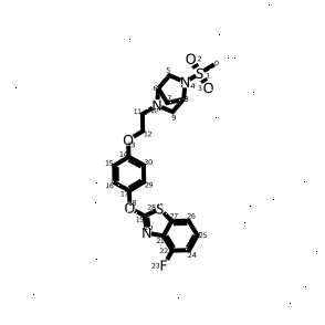 CS(=O)(=O)N1CC2CC1CN2CCOc1ccc(Oc2nc3c(F)cccc3s2)cc1